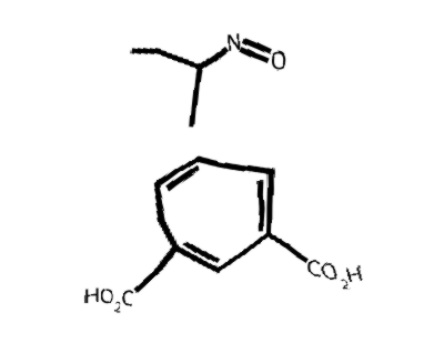 CC(C)N=O.O=C(O)c1cccc(C(=O)O)c1